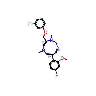 COc1cc(F)ccc1C1=C/N(C)/C=C(/COc2cccc(F)c2)N(C)C/N=C\1